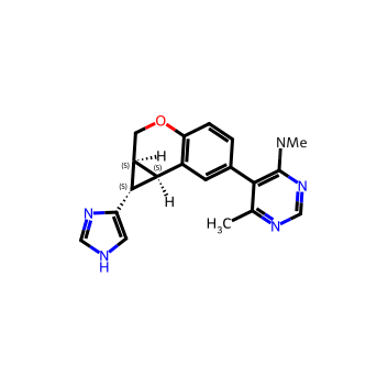 CNc1ncnc(C)c1-c1ccc2c(c1)[C@@H]1[C@H](CO2)[C@H]1c1c[nH]cn1